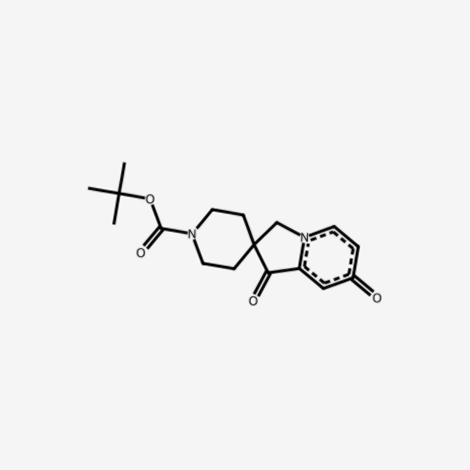 CC(C)(C)OC(=O)N1CCC2(CC1)Cn1ccc(=O)cc1C2=O